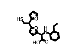 CCc1ccccc1NC(C(=O)O)c1ccc(C(CS)c2ccco2)o1